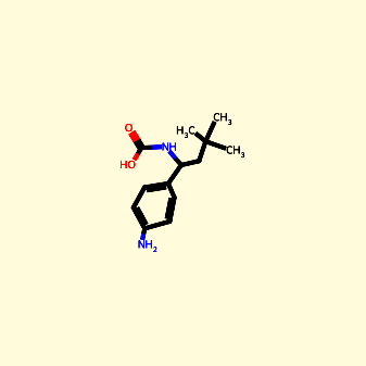 CC(C)(C)CC(NC(=O)O)c1ccc(N)cc1